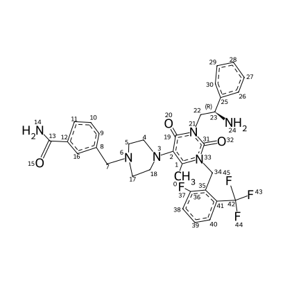 Cc1c(N2CCN(Cc3cccc(C(N)=O)c3)CC2)c(=O)n(C[C@H](N)c2ccccc2)c(=O)n1Cc1c(F)cccc1C(F)(F)F